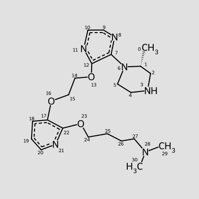 C[C@@H]1CNCCN1c1nccnc1OCCOc1cccnc1OCCCCN(C)C